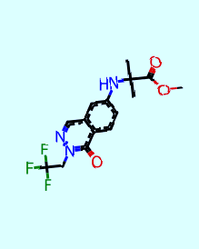 COC(=O)C(C)(C)Nc1ccc2c(=O)n(CC(F)(F)F)ncc2c1